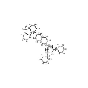 CC1(C)c2ccccc2-c2c(-c3ccc4cc(-c5nc(-c6ccccc6)cc(-c6ccccc6)n5)ccc4c3)cccc21